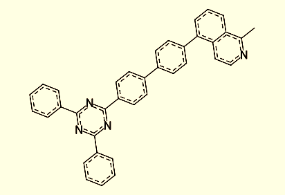 Cc1nccc2c(-c3ccc(-c4ccc(-c5nc(-c6ccccc6)nc(-c6ccccc6)n5)cc4)cc3)cccc12